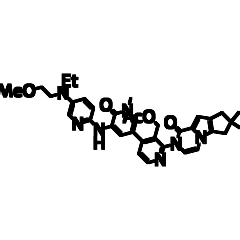 CCN(CCOC)c1ccc(Nc2cc(-c3ccnc(-n4ccn5c6c(cc5c4=O)CC(C)(C)C6)c3COC(C)=O)cn(C)c2=O)nc1